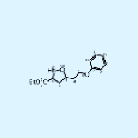 CCOC(=O)C1CC(CCOc2ccccc2)ON1